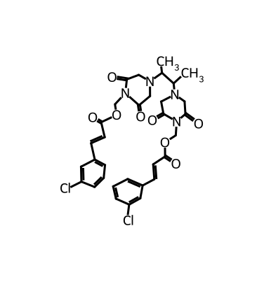 CC(C(C)N1CC(=O)N(COC(=O)C=Cc2cccc(Cl)c2)C(=O)C1)N1CC(=O)N(COC(=O)C=Cc2cccc(Cl)c2)C(=O)C1